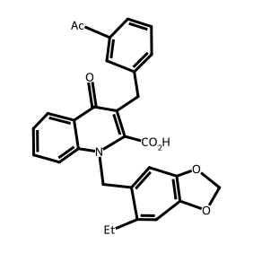 CCc1cc2c(cc1Cn1c(C(=O)O)c(Cc3cccc(C(C)=O)c3)c(=O)c3ccccc31)OCO2